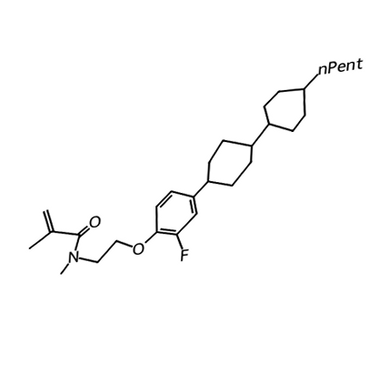 C=C(C)C(=O)N(C)CCOc1ccc(C2CCC(C3CCC(CCCCC)CC3)CC2)cc1F